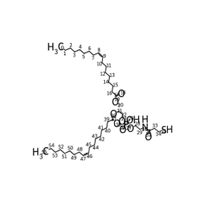 CCCCCCCC/C=C\CCCCCCCC(=O)OC[C@H](COP(=O)(O)OCCNC(=O)CCS)OC(=O)CCCCCCC/C=C\CCCCCCCC